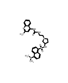 Cc1cc(NC(=O)NCCN2CCC(NS(=O)(=O)c3cccc4c(N(C)C)cccc34)C2)c2ccccc2n1